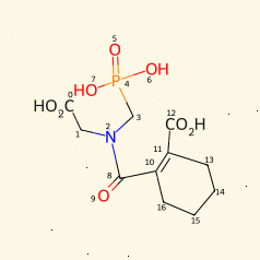 O=C(O)CN(CP(=O)(O)O)C(=O)C1=C(C(=O)O)CCCC1